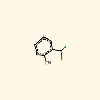 N#Cc1cc[c]cc1C(F)F